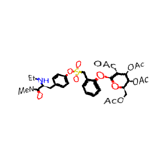 CCN[C@@H](Cc1ccc(OS(=O)(=O)Cc2ccccc2O[C@@H]2O[C@H](COC(C)=O)[C@H](OC(C)=O)[C@H](OC(C)=O)[C@H]2OC(C)=O)cc1)C(=O)NC